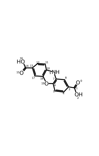 O=C(O)c1ccc2c(c1)Nc1ccc(C(=O)O)cc1O2